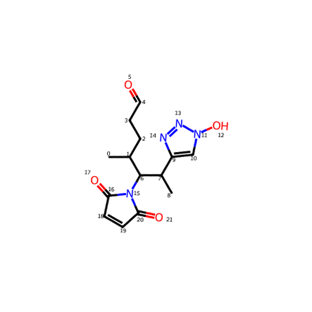 CC(CCC=O)C(C(C)c1cn(O)nn1)N1C(=O)C=CC1=O